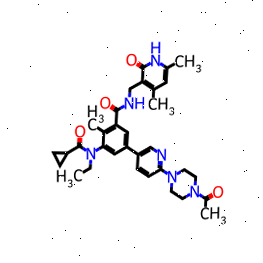 CCN(C(=O)C1CC1)c1cc(-c2ccc(N3CCN(C(C)=O)CC3)nc2)cc(C(=O)NCc2c(C)cc(C)[nH]c2=O)c1C